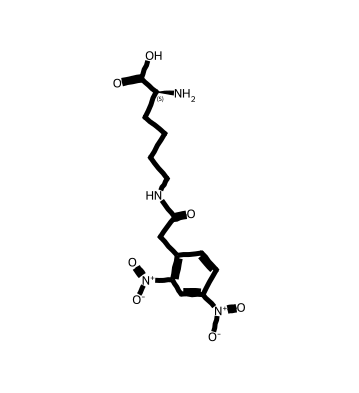 N[C@@H](CCCCNC(=O)Cc1ccc([N+](=O)[O-])cc1[N+](=O)[O-])C(=O)O